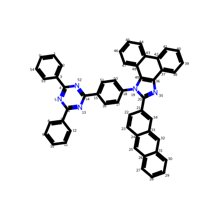 c1ccc(-c2nc(-c3ccccc3)nc(-c3ccc(-n4c(-c5ccc6cc7ccccc7cc6c5)nc5c6ccccc6c6ccccc6c54)cc3)n2)cc1